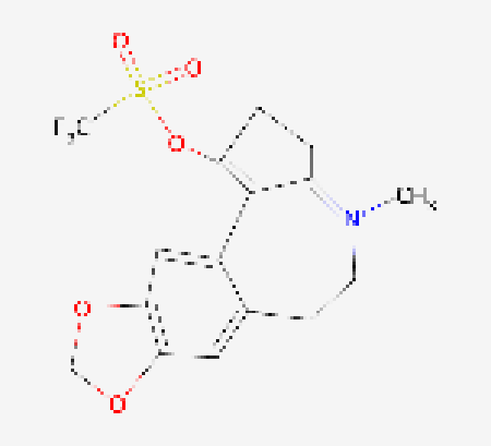 C[N+]1=C2CCC(OS(=O)(=O)C(F)(F)F)=C2c2cc3c(cc2CC1)OCO3